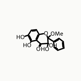 COC1(c2ccccc2)Oc2ccc(O)c(O)c2C(=O)C1(O)O